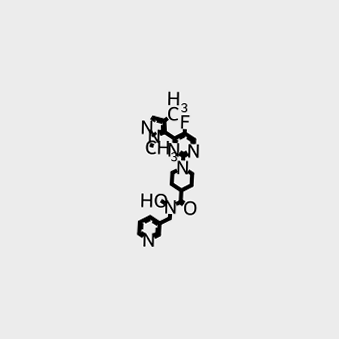 Cc1cnn(C)c1-c1nc(N2CCC(C(=O)N(O)Cc3cccnc3)CC2)ncc1F